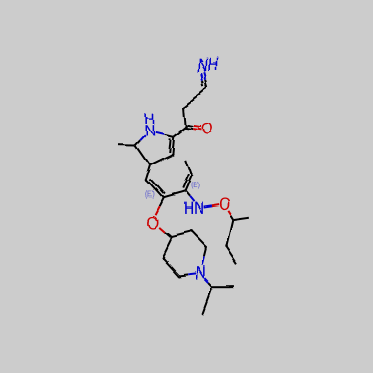 C/C=C(NOC(C)CC)\C(=C/C1C=C(C(=O)CC=N)NC1C)OC1CCN(C(C)C)CC1